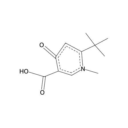 Cn1cc(C(=O)O)c(=O)cc1C(C)(C)C